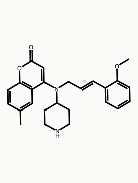 COc1ccccc1/C=C/CN(c1cc(=O)oc2ccc(C)cc12)C1CCNCC1